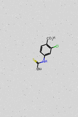 CC(C)(C)C(=S)Nc1ccc(C(=O)O)c(Cl)c1